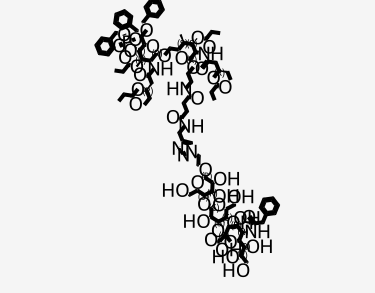 CCC(=O)O[C@H](CC)CC(=O)NC1[C@H](OCCNC(=O)CCC(=O)NCc2cn(CCO[C@@H]3OC(CO)[C@@H](O[C@@H]4OC(CO)[C@H](O)[C@H](O[C@]5(C(=O)O)C[C@@H](O)[C@@H](NC(=O)Cc6ccccc6)C([C@H](O)[C@H](O)CO)O5)C4O)[C@H](O)C3O)nn2)OC(CO[C@@H]2OC(COCc3ccccc3)[C@@H](OP(=O)(OCc3ccccc3)OCc3ccccc3)[C@H](OC(=O)CC)C2NC(=O)C[C@@H](CC)OC(=O)CC)[C@@H](C)[C@@H]1OC(=O)CC